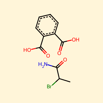 CC(Br)C(N)=O.O=C(O)c1ccccc1C(=O)O